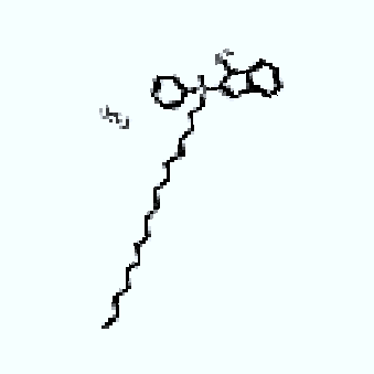 CCCCCCCCCCCCCCCCCC[Si](C)(C1=Cc2ccccc2[CH]1[Ti+3])c1ccccc1.[Cl-].[Cl-].[Cl-]